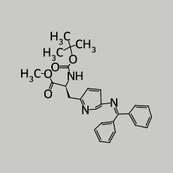 COC(=O)[C@H](Cc1ccc(N=C(c2ccccc2)c2ccccc2)cn1)NC(=O)OC(C)(C)C